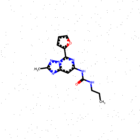 CCCNC(=O)Nc1cc2nc(C)nn2c(-c2ccco2)n1